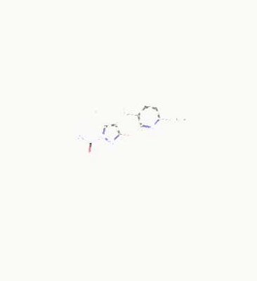 CCNC(=O)n1nc(Oc2nc(OC)ccc2N=O)cc1C